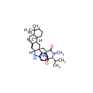 CC(C)[C@H]1C(=O)N[C@@H](C[C@]23C[C@H]4C(=C[C@H]2Nc2ccccc23)CC[C@H]2C(C)(C)CCC[C@]42C)C(=O)N1C